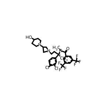 CN(C(=O)c1cc(C(F)(F)F)cc(C(F)(F)F)c1)[C@@](C)(CCN1CC(N2CCC(O)CC2)C1)c1ccc(Cl)c(Cl)c1